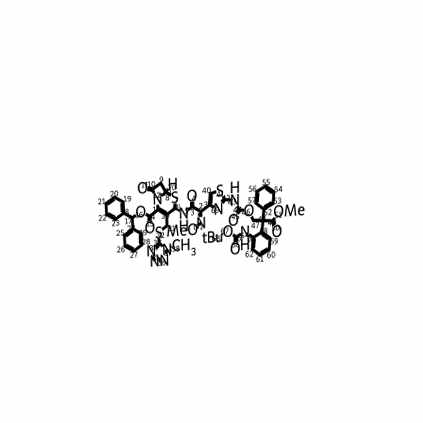 CON=C(C(=O)N[C@@H]1S[C@H]2CC(=O)N2C(C(=O)OC(c2ccccc2)c2ccccc2)=C1CSc1nnnn1C)c1csc(NC(=O)OCC(C(=O)OC)(c2ccccc2)c2ccccc2NC(=O)OC(C)(C)C)n1